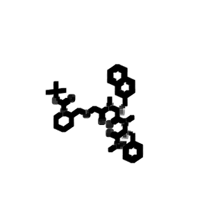 CNC(=O)[C@@H](Cc1ccccc1)N(C)C(=O)[C@@H](Cc1ccc2ccccc2c1)N(C)C(=O)COCC1CCCCN1C(=O)OC(C)(C)C